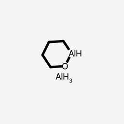 C1C[CH2][AlH][O]C1.[AlH3]